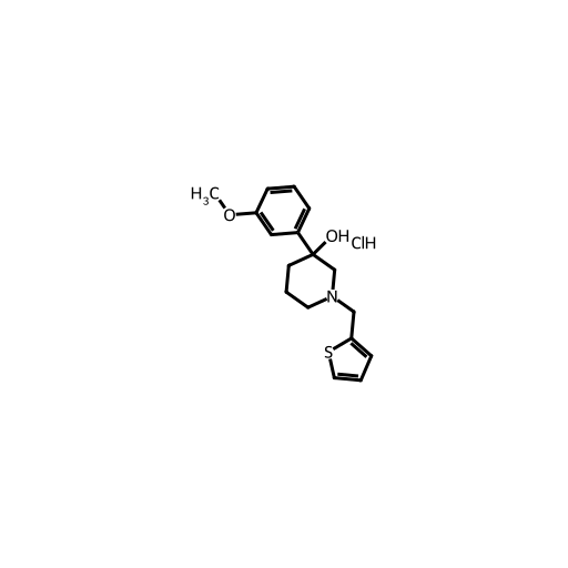 COc1cccc(C2(O)CCCN(Cc3cccs3)C2)c1.Cl